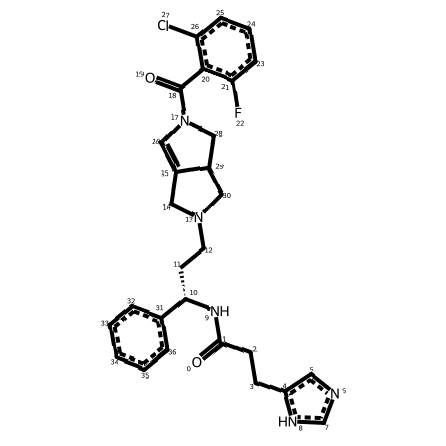 O=C(CCc1cnc[nH]1)N[C@@H](CCN1CC2=CN(C(=O)c3c(F)cccc3Cl)CC2C1)c1ccccc1